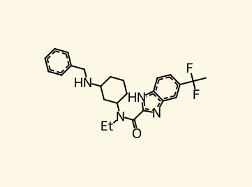 CCN(C(=O)c1nc2cc(C(C)(F)F)ccc2[nH]1)C1CCCC(NCc2ccccc2)C1